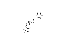 CC(C)(C)c1ccc(NCOCc2ccccn2)nc1